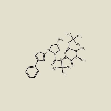 C[C@@H](C(=O)N[C@H](C(=O)N1C[C@@H](N)C[C@H]1c1nc(-c2ccccc2)cs1)C(C)(C)C)N(C)C(=O)OC(C)(C)C